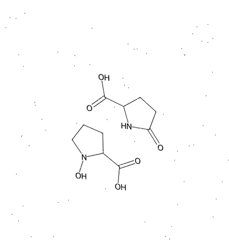 O=C(O)C1CCCN1O.O=C1CCC(C(=O)O)N1